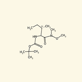 CC[C@H](C)C(NC(=O)OC(C)(C)C)C(=O)N(C)OC